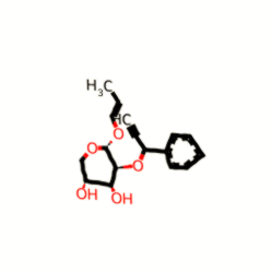 C#CC(O[C@@H]1[C@@H](O/C=C/C)OC[C@@H](O)[C@@H]1O)c1ccccc1